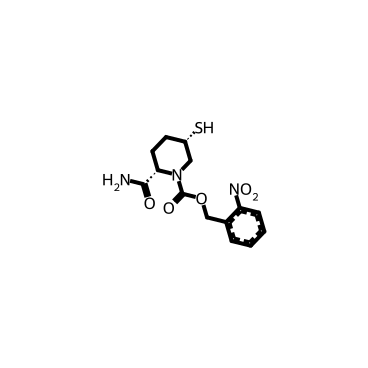 NC(=O)[C@@H]1CC[C@H](S)CN1C(=O)OCc1ccccc1[N+](=O)[O-]